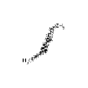 C=CCCC1CCC(C2CC=C(c3ccc(-c4ccc(-c5ccc(OCCCCCCCCC)c(F)c5F)cc4)cc3F)CC2)CC1